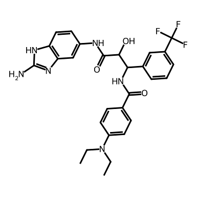 CCN(CC)c1ccc(C(=O)NC(c2cccc(C(F)(F)F)c2)C(O)C(=O)Nc2ccc3[nH]c(N)nc3c2)cc1